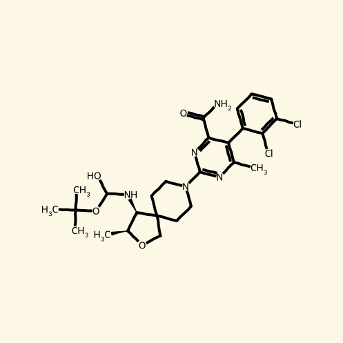 Cc1nc(N2CCC3(CC2)CO[C@@H](C)[C@H]3NC(O)OC(C)(C)C)nc(C(N)=O)c1-c1cccc(Cl)c1Cl